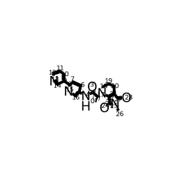 C[C@@H](C(=O)Nc1ccc(-c2cccnc2)nc1)N1CCCC2=C1C(=O)N(C)C2=O